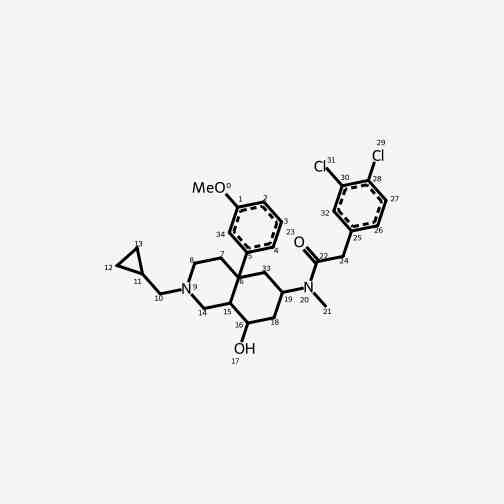 COc1cccc(C23CCN(CC4CC4)CC2C(O)CC(N(C)C(=O)Cc2ccc(Cl)c(Cl)c2)C3)c1